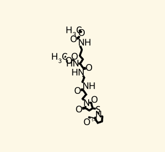 COC(=O)NCCCCC(NC(=O)OC)C(=O)NCCNC(=O)CCN1C(=O)CC(SN2CCC[C@H]2C=O)C1=O